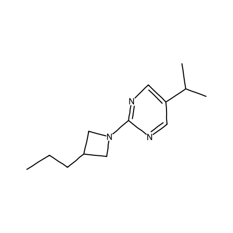 CCCC1CN(c2ncc(C(C)C)cn2)C1